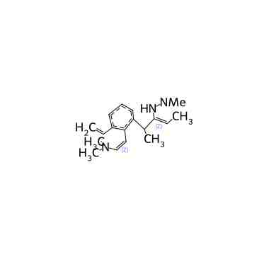 C=Cc1cccc(C(C)/C(=C/C)NNC)c1/C=C\N(C)C